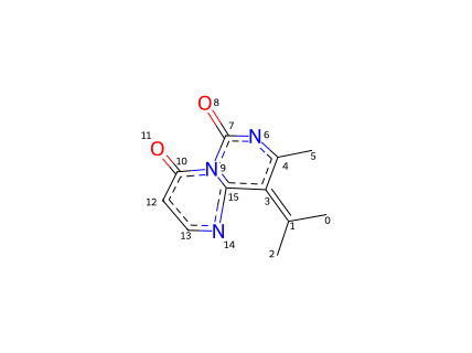 CC(C)=c1c(C)nc(=O)n2c(=O)ccnc12